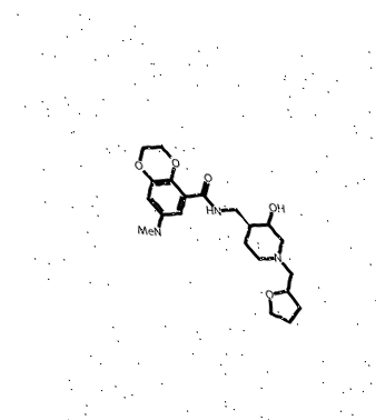 CNc1cc2c(c(C(=O)NC[C@@H]3CCN(CC4CCCO4)CC3O)c1)OCCO2